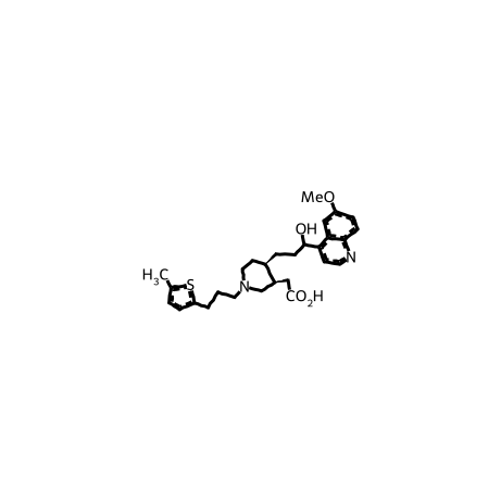 COc1ccc2nccc(C(O)CC[C@@H]3CCN(CCCc4ccc(C)s4)C[C@@H]3CC(=O)O)c2c1